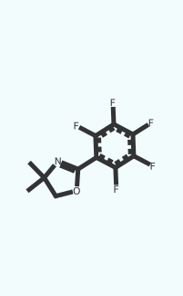 CC1(C)COC(c2c(F)c(F)c(F)c(F)c2F)=N1